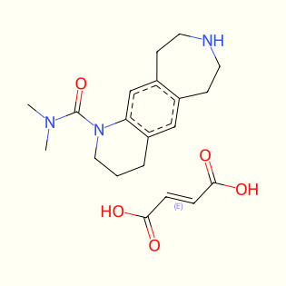 CN(C)C(=O)N1CCCc2cc3c(cc21)CCNCC3.O=C(O)/C=C/C(=O)O